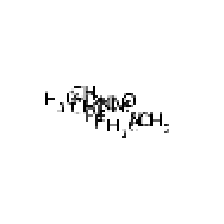 CN(C)CCC(=O)N1CCN(c2ccc(C(C)(C)C)cc2C(F)(F)F)CC1